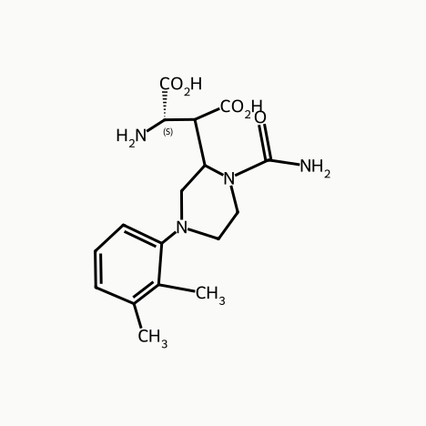 Cc1cccc(N2CCN(C(N)=O)C(C(C(=O)O)[C@H](N)C(=O)O)C2)c1C